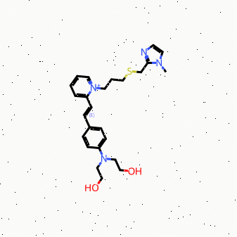 Cn1ccnc1CSCCC[n+]1ccccc1/C=C/c1ccc(N(CCO)CCO)cc1